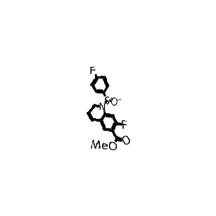 COC(=O)c1cc2c(cc1F)N([S+]([O-])c1ccc(F)cc1)CCC2